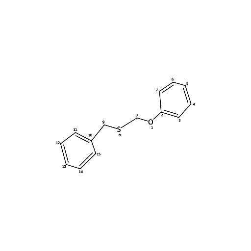 [CH](Oc1ccccc1)SCc1ccccc1